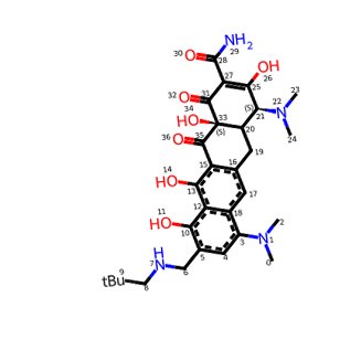 CN(C)c1cc(CNCC(C)(C)C)c(O)c2c(O)c3c(cc12)CC1[C@H](N(C)C)C(O)=C(C(N)=O)C(=O)[C@@]1(O)C3=O